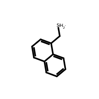 [SiH2]Cc1cccc2ccccc12